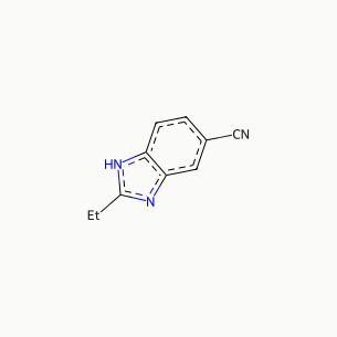 CCc1nc2cc(C#N)ccc2[nH]1